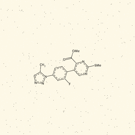 COC(=O)c1nc(SC)ncc1-c1ccc(-n2nncc2C)cc1F